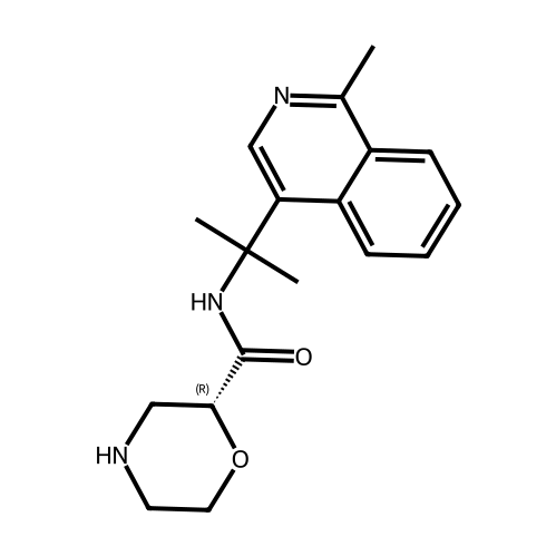 Cc1ncc(C(C)(C)NC(=O)[C@H]2CNCCO2)c2ccccc12